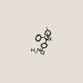 Cc1ccc2nc(-c3ccc(C4(N)CCC4)cc3)c(-c3ccccc3)n2c1